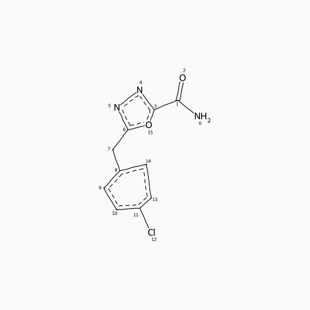 NC(=O)c1nnc(Cc2ccc(Cl)cc2)o1